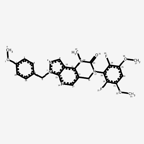 COc1ccc(Cn2ncc3c4c(cnc32)CN(c2c(F)c(OC)cc(OC)c2F)C(=O)N4C)cc1